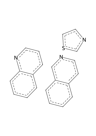 c1ccc2cnccc2c1.c1ccc2ncccc2c1.c1cscn1